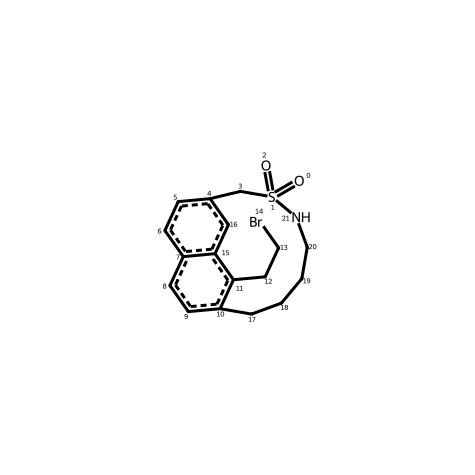 O=S1(=O)Cc2ccc3ccc(c(CCBr)c3c2)CCCCN1